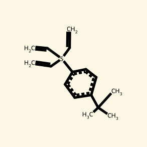 C=CS(C=C)(C=C)c1ccc(C(C)(C)C)cc1